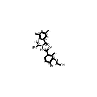 CC[C@H](C(C)C)N(NC(=O)c1ccc(Br)c(OCC#N)c1C)C(=O)c1cc(C)cc(C)c1